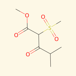 COC(=O)C(C(=O)C(C)C)S(C)(=O)=O